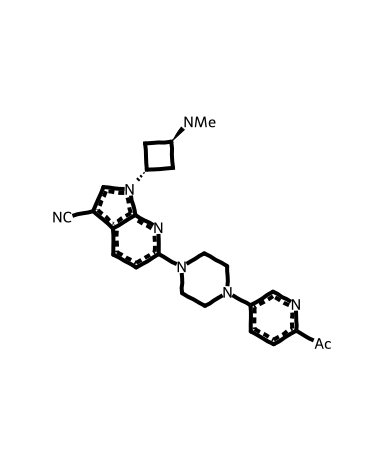 CN[C@H]1C[C@H](n2cc(C#N)c3ccc(N4CCN(c5ccc(C(C)=O)nc5)CC4)nc32)C1